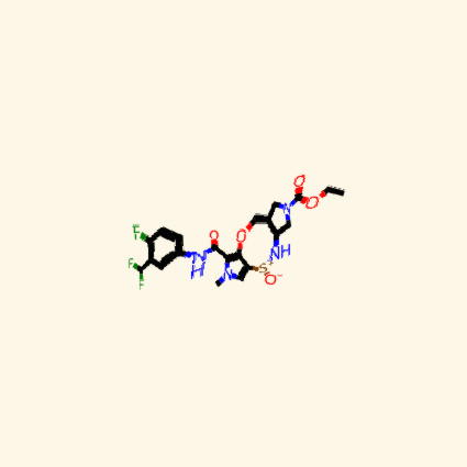 CCOC(=O)N1CC2COc3c(cn(C)c3C(=O)Nc3ccc(F)c(C(F)F)c3)[S+]([O-])NC2C1